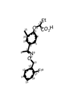 CCC(Oc1ccc(C(C)=NOCc2ccccc2F)cc1C)C(=O)O